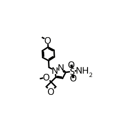 COc1ccc(Cn2nc(S(N)(=O)=O)cc2C2(OC)COC2)cc1